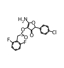 NC1=C(OS(=O)Cc2c(F)cccc2F)C(=O)C(c2ccc(Cl)cc2)O1